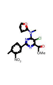 COC(=O)c1nc(-c2ccc(C)c([N+](=O)[O-])c2)nc(N(C)c2ccco2)c1Cl